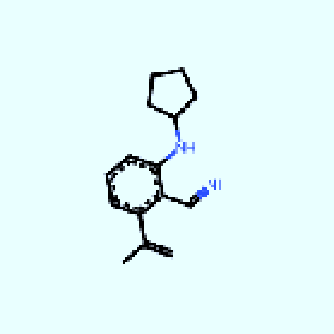 C=C(C)c1cccc(NC2CCCC2)c1C=N